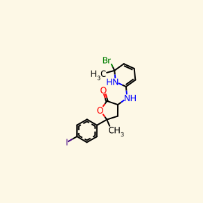 CC1(Br)C=CC=C(NC2CC(C)(c3ccc(I)cc3)OC2=O)N1